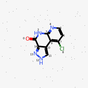 O=c1[nH]c2nccc(Cl)c2c2c[nH]nc12